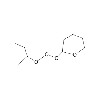 CCC(C)OOOC1CCCCO1